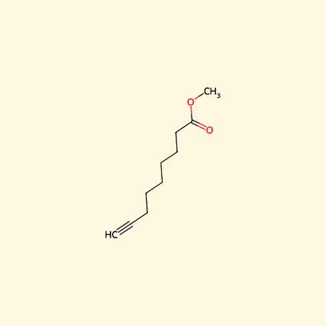 C#CCCCCCCC(=O)OC